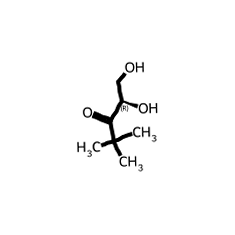 CC(C)(C)C(=O)[C@H](O)CO